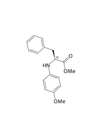 COC(=O)[C@H](Cc1ccccc1)Nc1ccc(OC)cc1